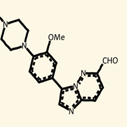 COc1cc(-c2cnc3ccc(C=O)nn23)ccc1N1CCN(C)CC1